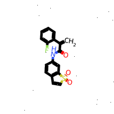 C=C(C(=O)Nc1ccc2c(c1)S(=O)(=O)C=C2)c1ccccc1F